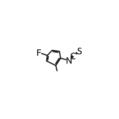 Cc1cc(F)ccc1N=C=S